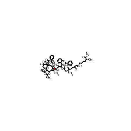 CC(=O)O[C@H]1C(=O)[C@@]2(C)[C@H]([C@H](OC(=O)c3ccccc3)[C@]3(O)C[C@H](OC(=O)[C@H](OC(=O)CN(C)C(=O)CCC(=O)CNCCCC[C@@H](C)C(C)=O)[C@@H](NC(=O)c4ccccc4)c4ccccc4)C(C)=C1C3(C)C)[C@]1(OC(C)=O)CO[C@@H]1C[C@@H]2O